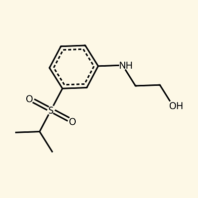 CC(C)S(=O)(=O)c1cccc(NCCO)c1